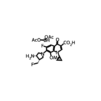 CC(=O)OBOC(C)=O.COc1c(N2C[C@H](CF)[C@H](N)C2)c(F)cc2c(=O)c(C(=O)O)cn(C3CC3)c12